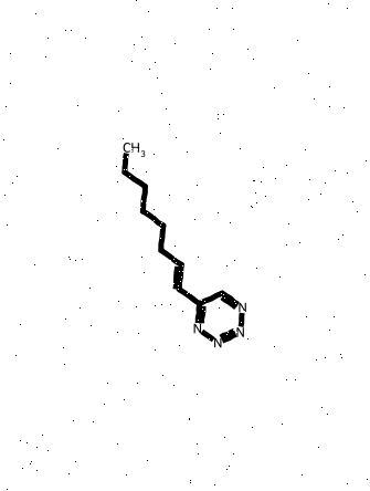 CCCCCCC=Cc1cnnnn1